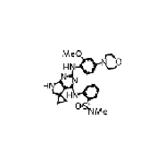 CN[S+]([O-])c1ccccc1Nc1nc(Nc2ccc(N3CCOCC3)cc2OC)nc2c1C1(CC1)CN2